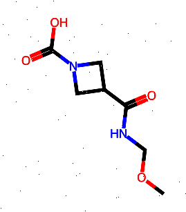 COCNC(=O)C1CN(C(=O)O)C1